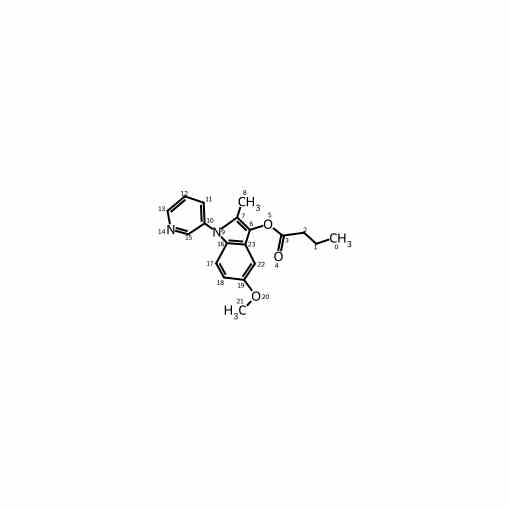 CCCC(=O)Oc1c(C)n(-c2cccnc2)c2ccc(OC)cc12